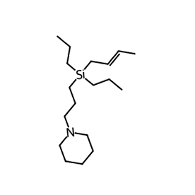 CC=CC[Si](CCC)(CCC)CCCN1CCCCC1